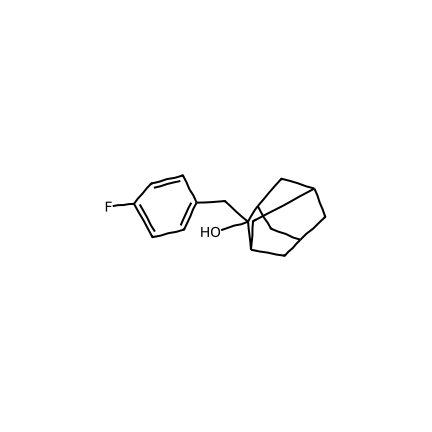 OC1(Cc2ccc(F)cc2)C2CC3CC(C2)CC1C3